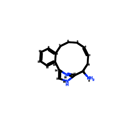 NC1CC=CCCCc2ccccc2-c2c[nH]c1n2